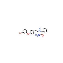 NC(=O)C(NCCc1ccc(Oc2cccc(Br)c2)cc1)c1ccccc1